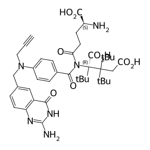 C#CCN(Cc1ccc2nc(N)[nH]c(=O)c2c1)c1ccc(C(=O)N(C(=O)CC[C@H](N)C(=O)O)[C@](C(=O)O)(C(C)(C)C)C(CC(=O)O)(C(C)(C)C)C(C)(C)C)cc1